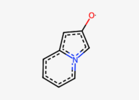 [O]c1cc2ccccn2c1